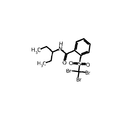 CCC(CC)NC(=O)c1ccccc1S(=O)(=O)C(Br)(Br)Br